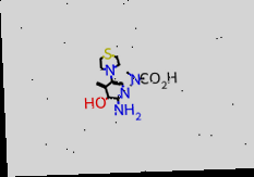 C=C1C(N2CCSCC2)=CN=C(N)C1O.CN(C)C(=O)O